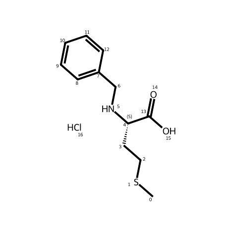 CSCC[C@H](NCc1ccccc1)C(=O)O.Cl